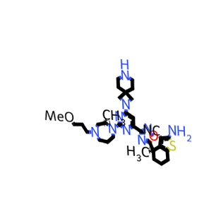 COCCCN1CCCN(c2nc(-c3noc([C@@]4(C)CCCc5sc(N)c(C#N)c54)n3)cc(N3CC4(CCNCC4)C3)n2)[C@@H](C)C1